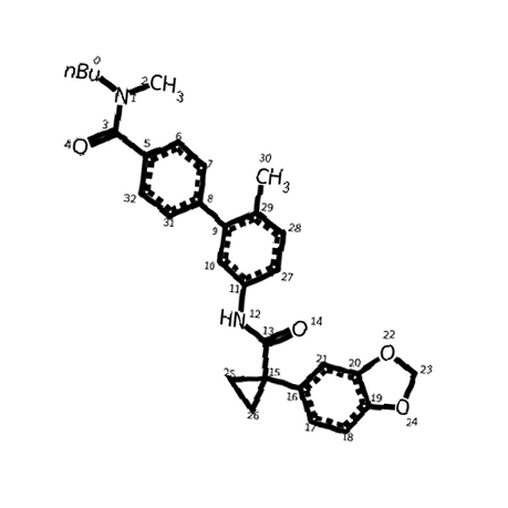 CCCCN(C)C(=O)c1ccc(-c2cc(NC(=O)C3(c4ccc5c(c4)OCO5)CC3)ccc2C)cc1